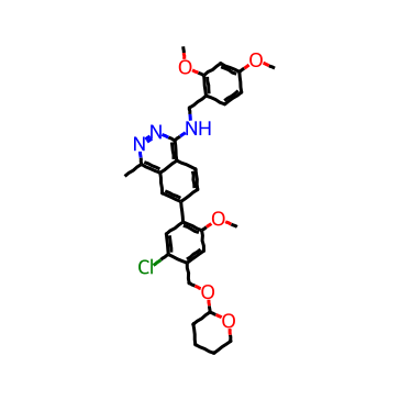 COc1ccc(CNc2nnc(C)c3cc(-c4cc(Cl)c(COC5CCCCO5)cc4OC)ccc23)c(OC)c1